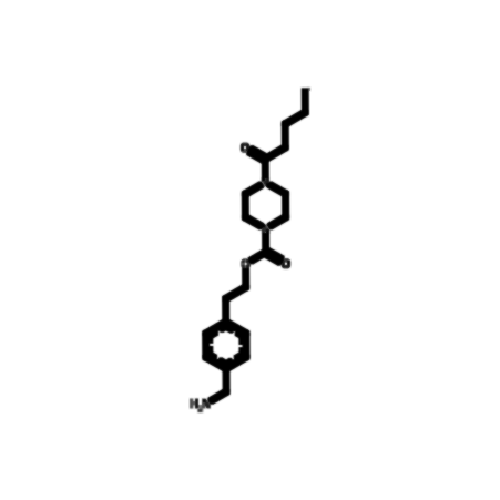 [CH2]CCCC(=O)N1CCN(C(=O)OCCc2ccc(CN)cc2)CC1